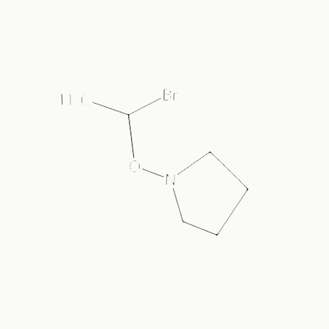 CC(Br)ON1CCCC1